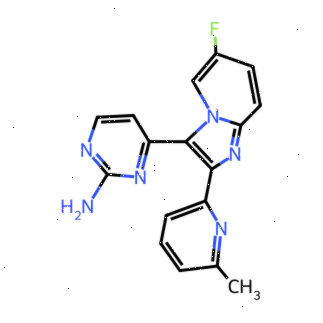 Cc1cccc(-c2nc3ccc(F)cn3c2-c2ccnc(N)n2)n1